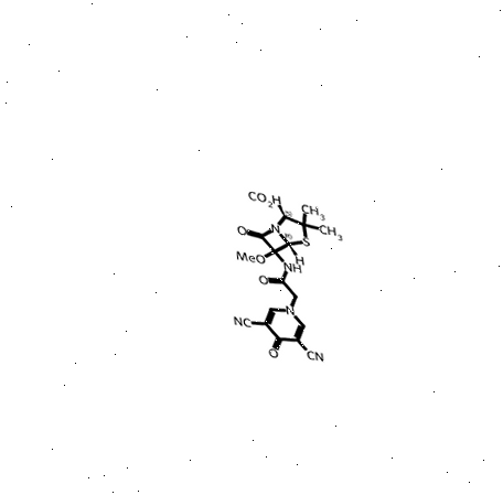 COC1(NC(=O)Cn2cc(C#N)c(=O)c(C#N)c2)C(=O)N2[C@@H](C(=O)O)C(C)(C)S[C@@H]21